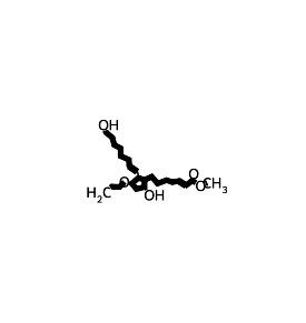 C=CCO[C@@H]1C[C@H](O)C(CCCCC=CC(=O)OC)[C@H]1/C=C/CCCCCCO